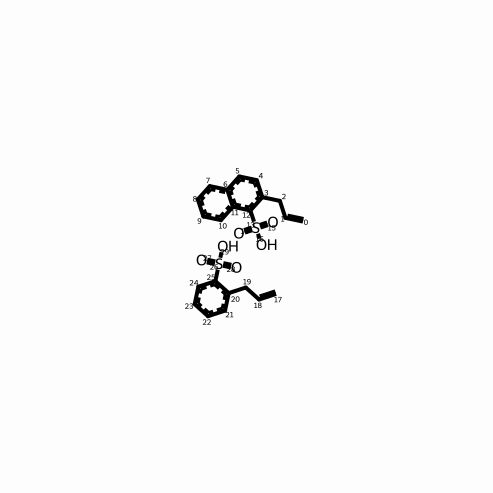 C=CCc1ccc2ccccc2c1S(=O)(=O)O.C=CCc1ccccc1S(=O)(=O)O